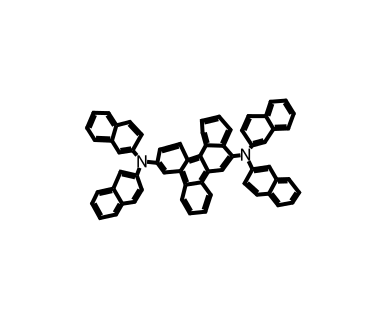 c1ccc2cc(N(c3ccc4ccccc4c3)c3ccc4c(c3)c3ccccc3c3cc(N(c5ccc6ccccc6c5)c5ccc6ccccc6c5)c5ccccc5c43)ccc2c1